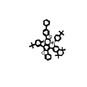 CC(C)(C)c1ccc(N2B3c4oc5cc(-c6ccccc6)ccc5c4-n4c5ccc(C(C)(C)C)cc5c5c6oc7ccccc7c6c(c3c54)-c3cc4c(cc32)C(C)(C)CCC4(C)C)cc1